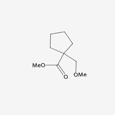 COCC1(C(=O)OC)CCCC1